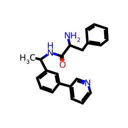 CC(NC(=O)C(N)Cc1ccccc1)c1cccc(-c2cccnc2)c1